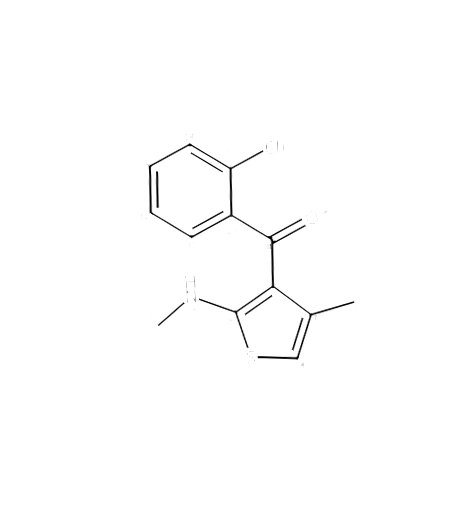 CNc1scc(C)c1C(=O)c1ccccc1Cl